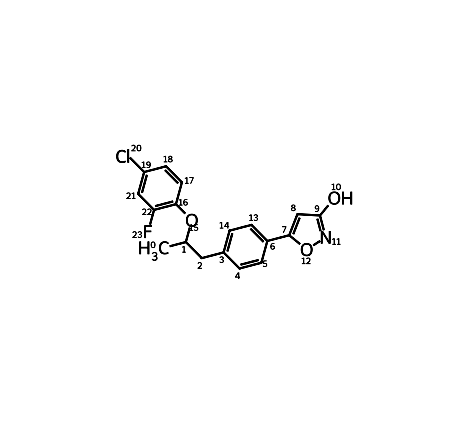 CC(Cc1ccc(-c2cc(O)no2)cc1)Oc1ccc(Cl)cc1F